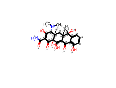 CN(C)[C@H]1C(O)=C(C(N)=O)C(=O)[C@@]2(O)C(O)=C3C(=O)c4c(O)cccc4[C@@](C)(O)[C@H]3C[C@@H]12